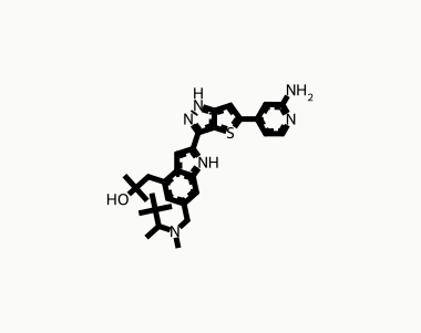 CC(N(C)Cc1cc(CC(C)(C)O)c2cc(-c3n[nH]c4cc(-c5ccnc(N)c5)sc34)[nH]c2c1)C(C)(C)C